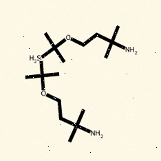 CC(C)(N)CCOC(C)(C)[SiH2]C(C)(C)OCCC(C)(C)N